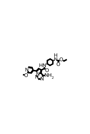 CCOC(=O)N[C@H]1CC[C@H](NC(=O)c2cc(-c3ccnc(OC)c3)n3ncnc(N)c23)CC1